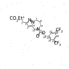 CCOC(=O)Cc1cc2n(n1)CCCN(C(=O)OCc1cc(C(F)(F)F)cc(C(F)(F)F)c1)C2